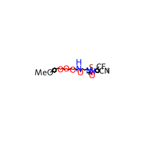 COc1ccc(COCCOCCOCCNC(=O)CCCN2C(=S)N(c3ccc(C#N)c(C(F)(F)F)c3)C(=O)C2(C)C)cc1